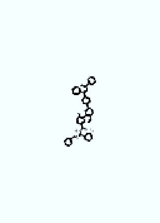 C=CC1=C(c2cc(C(N)N/C(=N\Cc3ccccc3)c3ccccc3)ccc2C)C=C(C2=CC=C(/C(=C/C(=C\C)c3ccccc3)c3ccccc3)CC2)CC1